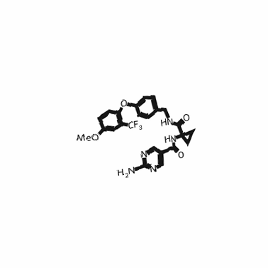 COc1ccc(Oc2ccc(CNC(=O)C3(NC(=O)c4cnc(N)nc4)CC3)cc2)c(C(F)(F)F)c1